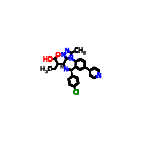 CCC(C(=O)O)[C@@H]1N=C(c2ccc(Cl)cc2)c2cc(-c3ccncc3)ccc2-n2c(C)nnc21